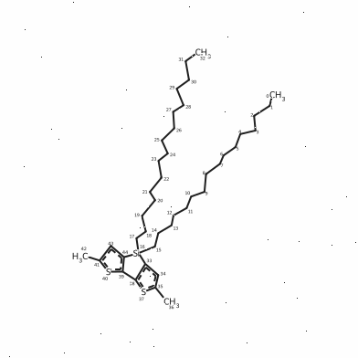 CCCCCCCCCCCCCCCC[Si]1(CCCCCCCCCCCCCCCC)c2cc(C)sc2-c2sc(C)cc21